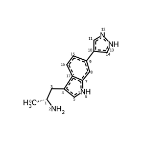 C[C@@H](N)Cc1c[nH]c2cc(-c3cn[nH]c3)ccc12